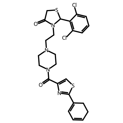 O=C(c1csc(C2=CC=CCC2)n1)N1CCN(CCN2C(=O)CSC2c2c(Cl)cccc2Cl)CC1